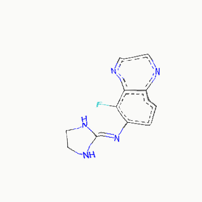 Fc1c(N=C2NCCN2)ccc2nccnc12